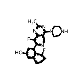 Cc1nc(N2CCNCC2)c2cnc(-c3cc(O)cc4cccc(F)c34)c(F)c2n1